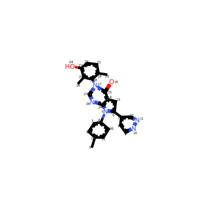 Cc1ccc(-n2c(-c3ccnnc3)cc3c(=O)n(-c4c(C)ccc(O)c4C)cnc32)cc1